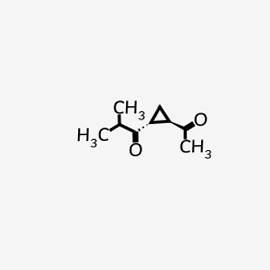 CC(=O)[C@@H]1C[C@H]1C(=O)C(C)C